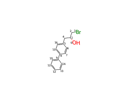 OC(CBr)Cc1ccc(-c2ccccc2)cc1